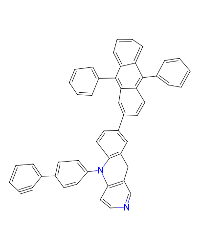 c1cccc(-c2ccc(N3c4ccncc4Cc4cc(-c5ccc6c(-c7ccccc7)c7ccccc7c(-c7ccccc7)c6c5)ccc43)cc2)c#1